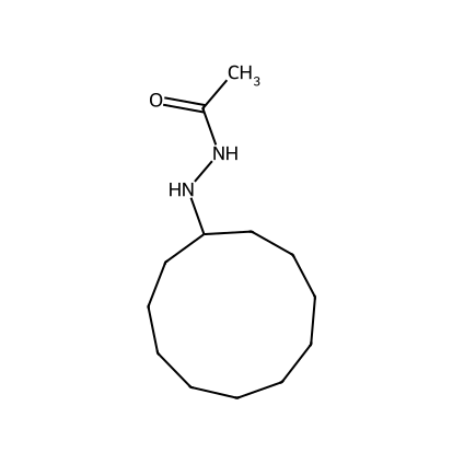 CC(=O)NNC1CCCCCCCCCC1